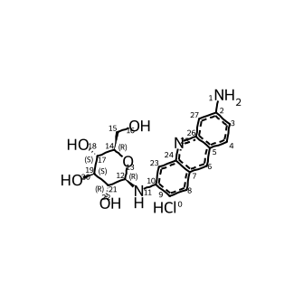 Cl.Nc1ccc2cc3ccc(N[C@@H]4O[C@H](CO)[C@@H](O)[C@H](O)[C@H]4O)cc3nc2c1